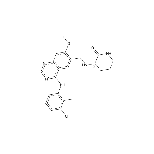 COc1cc2ncnc(Nc3cccc(Cl)c3F)c2cc1CN[C@H]1CCCNC1=O